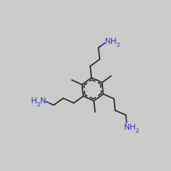 Cc1c(CCCN)c(C)c(CCCN)c(C)c1CCCN